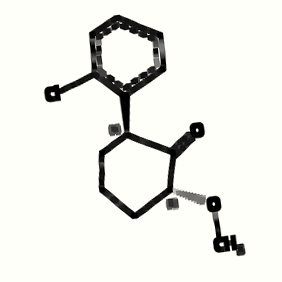 CO[C@@H]1CCC[C@@H](c2ccccc2Cl)C1=O